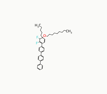 CCCCCCCCCOC1(CCCCC)C=CC(c2ccc(-c3ccc(-c4ccccc4)cc3)cc2)=C(F)C1F